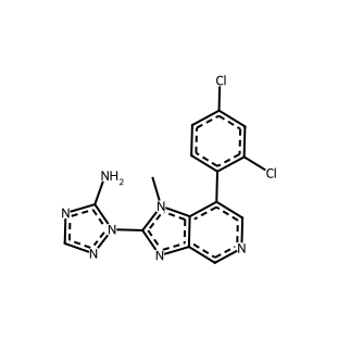 Cn1c(-n2ncnc2N)nc2cncc(-c3ccc(Cl)cc3Cl)c21